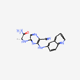 C[C@@H](Nc1cnc(C#N)c(Nc2ccc3ncccc3c2)n1)C(N)=O